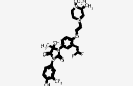 CC1CN(CCOc2ccc(N3C(=S)N(c4ccc(C#N)c(C(F)(F)F)c4)C(=O)C3(C)C)cc2CC(F)F)CCN1C(=O)O